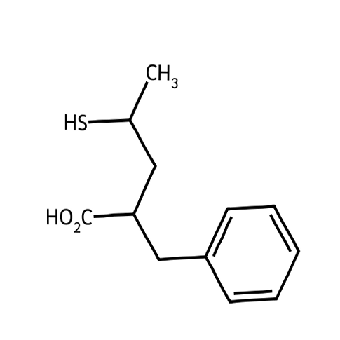 CC(S)CC(Cc1ccccc1)C(=O)O